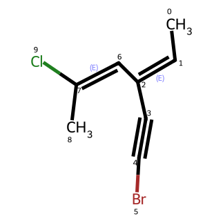 C/C=C(C#CBr)\C=C(/C)Cl